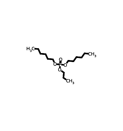 CCCCCCOP(=O)(OCCC)OCCCCCC